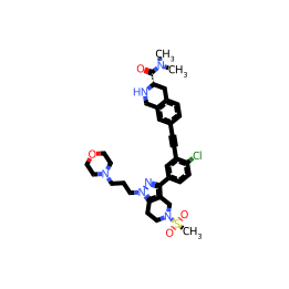 CN(C)C(=O)[C@@H]1Cc2ccc(C#Cc3cc(-c4nn(CCCN5CCOCC5)c5c4CN(S(C)(=O)=O)CC5)ccc3Cl)cc2CN1